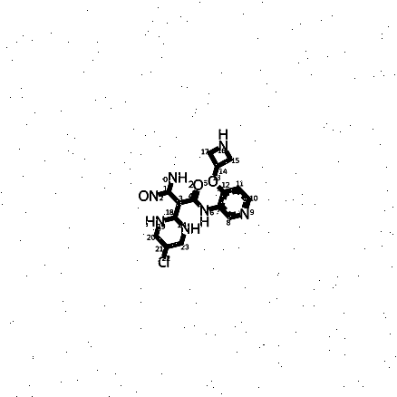 NC(N=O)C(C(=O)Nc1cnccc1OC1CNC1)C1NCC(Cl)CN1